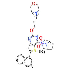 Cc1cc(-c2cc3nc(OCCCN4C5CCC4COC5)nc(N4CC5CCC(C4)N5C(=O)OC(C)(C)C)c3s2)c2ccccc2c1